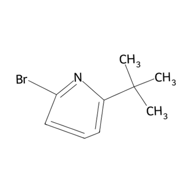 CC(C)(C)c1cccc(Br)n1